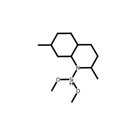 CO[SiH](OC)N1C(C)CCC2CCC(C)CC21